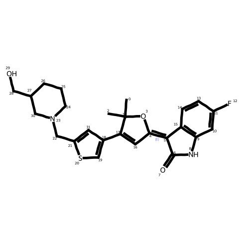 CC1(C)O/C(=C2/C(=O)Nc3cc(F)ccc32)C=C1c1csc(CN2CCCC(CO)C2)c1